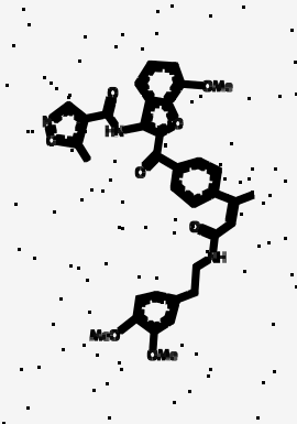 COc1ccc(CCNC(=O)/C=C(/C)c2ccc(C(=O)c3oc4c(OC)cccc4c3NC(=O)c3cnoc3C)cc2)cc1OC